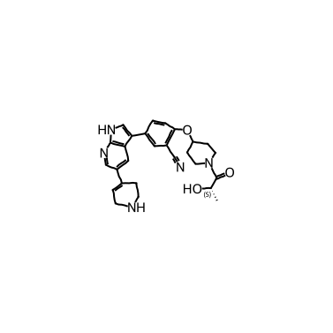 C[C@H](O)C(=O)N1CCC(Oc2ccc(-c3c[nH]c4ncc(C5=CCNCC5)cc34)cc2C#N)CC1